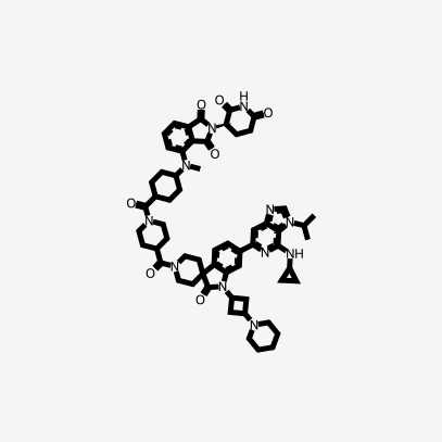 CC(C)n1cnc2cc(-c3ccc4c(c3)N(C3CC(N5CCCCC5)C3)C(=O)C43CCN(C(=O)C4CCN(C(=O)C5CCC(N(C)c6cccc7c6C(=O)N([C@@H]6CCC(=O)NC6=O)C7=O)CC5)CC4)CC3)nc(NC3CC3)c21